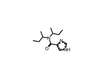 CCC(C)N(C(=O)c1c[nH]cn1)C(C)CC